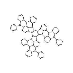 c1ccc(N2c3ccccc3B3c4cccc5c4C(c4cccc2c43)c2c3c(c4c(c2-5)C2c5ccccc5C5c6ccccc6N(c6ccccc6)c6ccc-4c2c65)C2c4ccccc4C4c5ccccc5N(c5ccccc5)c5ccc-3c2c54)cc1